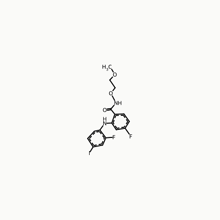 COCCONC(=O)c1ccc(F)cc1Nc1ccc(I)cc1F